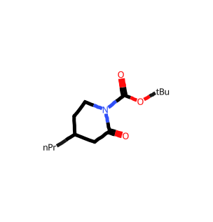 CCCC1CCN(C(=O)OC(C)(C)C)C(=O)C1